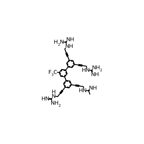 CC(=N)NCC#Cc1cc(C#CCNC(=N)N)cc(-c2cc(-c3cc(C#CCNC(=N)N)cc(C#CCNC(=N)N)c3)cc(C(F)(F)F)c2)c1